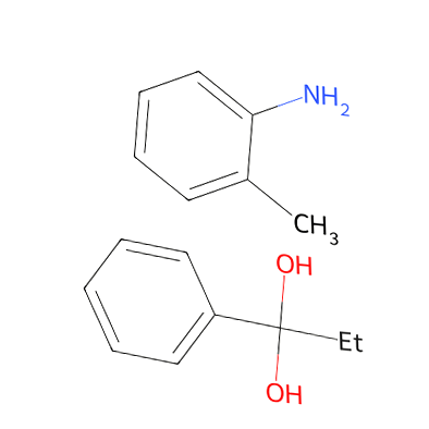 CCC(O)(O)c1ccccc1.Cc1ccccc1N